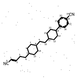 N#CC=CCCC1CCC(CCC2CCC(c3ccc(C#N)cc3)CC2)CC1